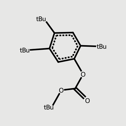 CC(C)(C)OC(=O)Oc1cc(C(C)(C)C)c(C(C)(C)C)cc1C(C)(C)C